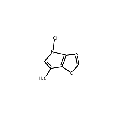 Cc1cn(O)c2ncoc12